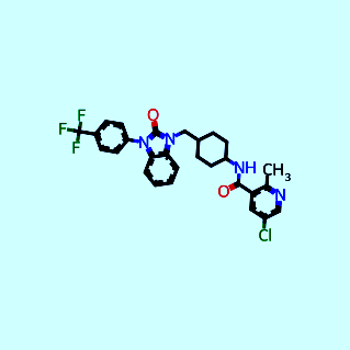 Cc1ncc(Cl)cc1C(=O)NC1CCC(Cn2c(=O)n(-c3ccc(C(F)(F)F)cc3)c3ccccc32)CC1